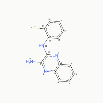 Nc1nc2ccccc2nc1Nc1ccccc1F